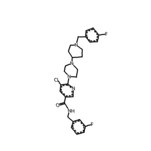 O=C(NCc1cccc(F)c1)c1cnc(N2CCN(C3CCN(Cc4ccc(F)cc4)CC3)CC2)c(Cl)c1